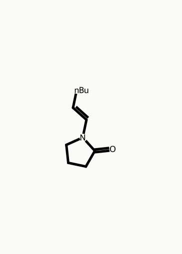 CCCCC=CN1CCCC1=O